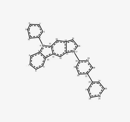 c1ccc(-n2c3ccccc3c3cc4c(ccn4-c4ccc(-c5ccncc5)cn4)cc32)cc1